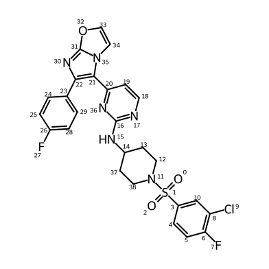 O=S(=O)(c1ccc(F)c(Cl)c1)N1CCC(Nc2nccc(-c3c(-c4ccc(F)cc4)nc4occn34)n2)CC1